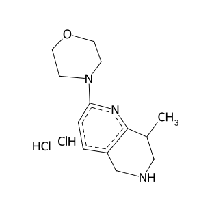 CC1CNCc2ccc(N3CCOCC3)nc21.Cl.Cl